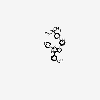 CN(C)C1CCN(c2cc(N3CCc4c(-c5cccc(O)c5)nc(N5CCOCC5)nc43)ccn2)CC1